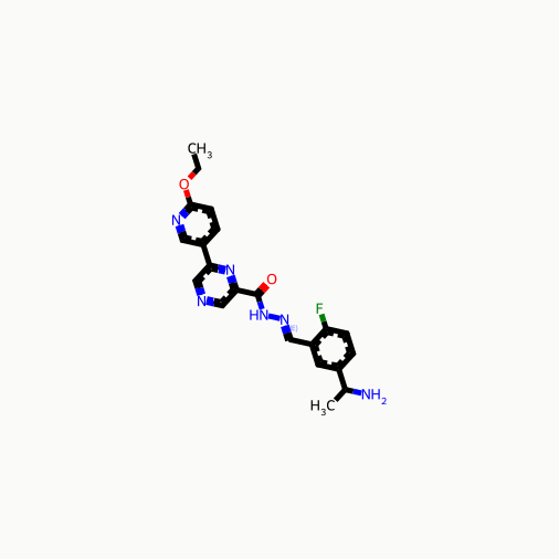 CCOc1ccc(-c2cncc(C(=O)N/N=C/c3cc(C(C)N)ccc3F)n2)cn1